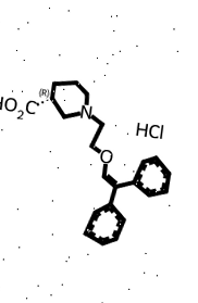 Cl.O=C(O)[C@@H]1CCCN(CCOC=C(c2ccccc2)c2ccccc2)C1